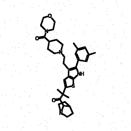 Cc1cc(C)cc(-c2[nH]c3sc(C(C)(C)C(=O)C4C5CCN4CC5)cc3c2CCN2CCC(C(=O)N3CCOCC3)CC2)c1